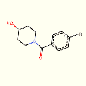 CC(C)c1ccc(C(=O)N2CCC(O)CC2)cc1